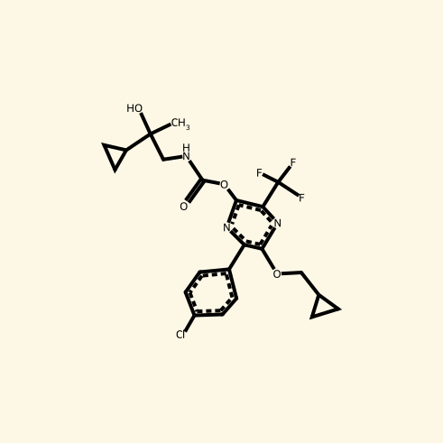 CC(O)(CNC(=O)Oc1nc(-c2ccc(Cl)cc2)c(OCC2CC2)nc1C(F)(F)F)C1CC1